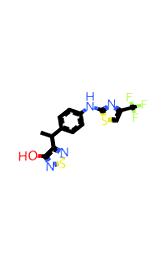 CC(c1ccc(Nc2nc(C(F)(F)F)cs2)cc1)c1nsnc1O